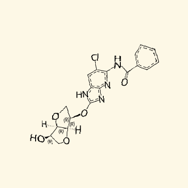 O=C(Nc1nc2nc(O[C@@H]3CO[C@H]4[C@@H]3OC[C@H]4O)[nH]c2cc1Cl)c1ccccc1